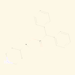 CC(C)(OC(=O)C(c1ccccc1)c1ccccc1)C1CCNCC1